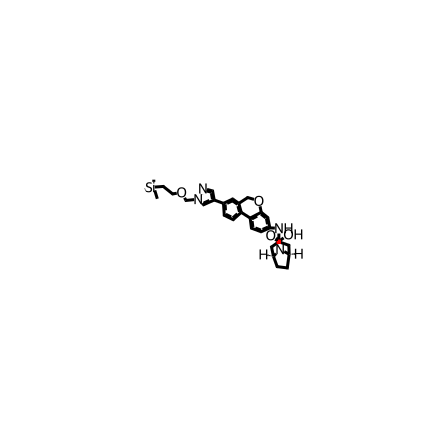 C[Si](C)(C)CCOCn1cc(-c2ccc3c(c2)COc2cc(NC4C[C@H]5CC[C@@H](C4)N5C(=O)O)ccc2-3)cn1